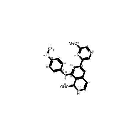 COc1cncc(-c2cc3c(c(Nc4ccc(OC(F)(F)F)cc4)n2)C(C=O)NC=C3)n1